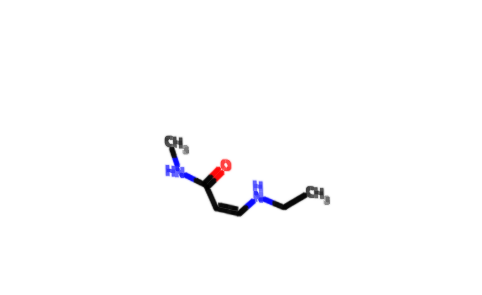 CCN/C=C\C(=O)NC